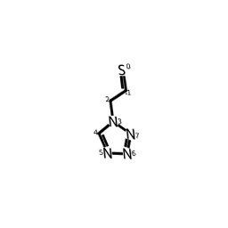 S=[C]Cn1cnnn1